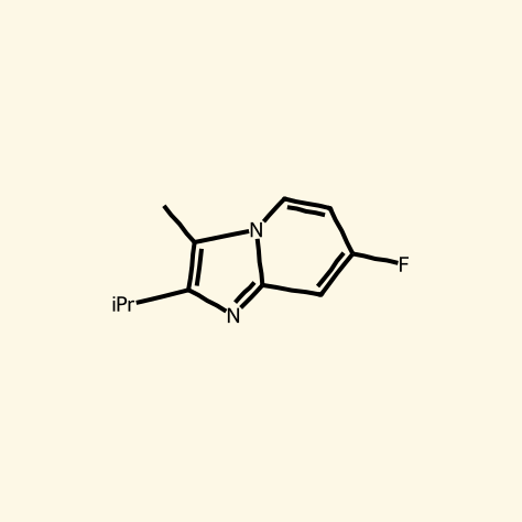 Cc1c(C(C)C)nc2cc(F)ccn12